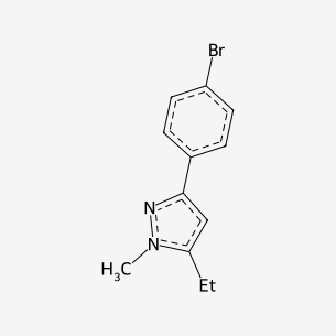 CCc1cc(-c2ccc(Br)cc2)nn1C